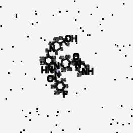 CC(C)(O)C1CCN(Cc2ccc3[nH]/c(=N\C(=O)c4ccc(F)cc4)n([C@H]4CC[C@@H](C(=O)N5C6CCC5CNC6)CC4)c3c2)CC1